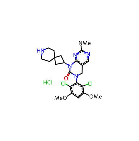 CNc1ncc2c(n1)N(C1CC3(CCNCC3)C1)C(=O)N(c1c(Cl)c(OC)cc(OC)c1Cl)C2.Cl